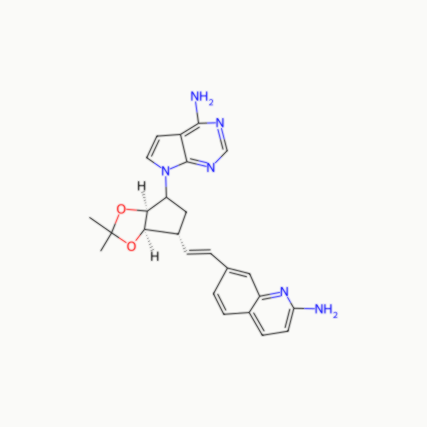 CC1(C)O[C@@H]2[C@@H](/C=C/c3ccc4ccc(N)nc4c3)CC(n3ccc4c(N)ncnc43)[C@@H]2O1